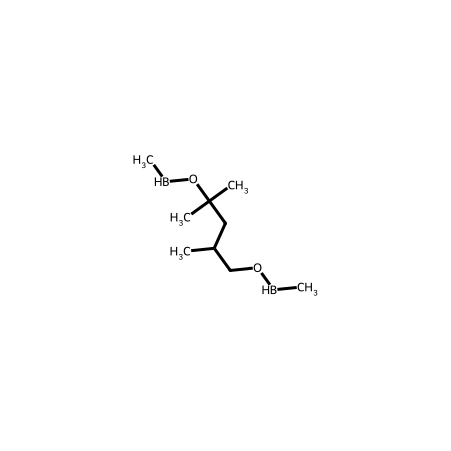 CBOCC(C)CC(C)(C)OBC